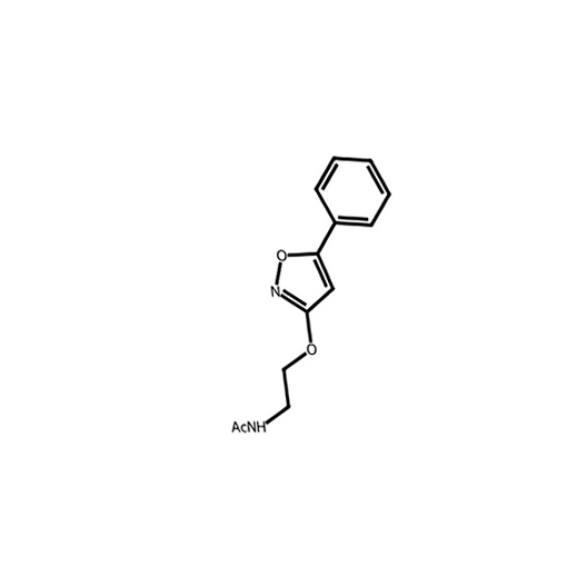 CC(=O)NCCOc1cc(-c2ccccc2)on1